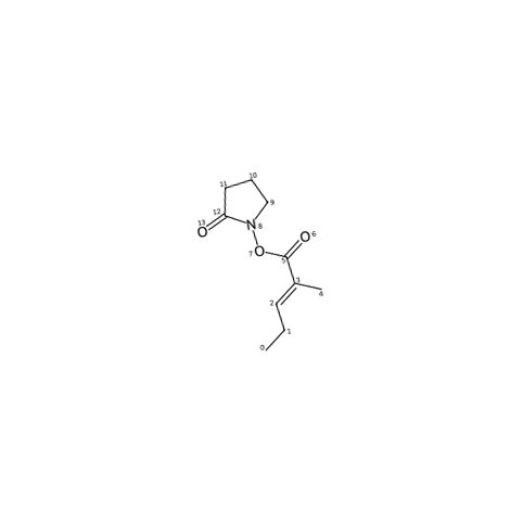 CCC=C(C)C(=O)ON1CCCC1=O